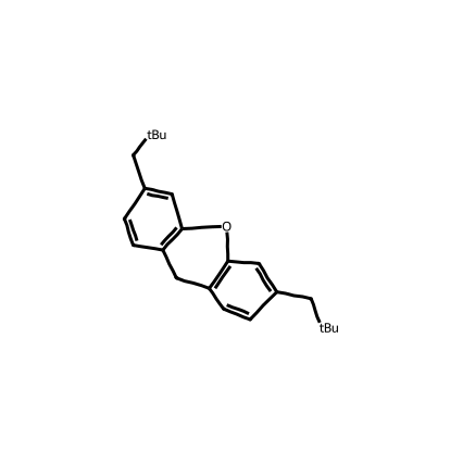 CC(C)(C)Cc1ccc2c(c1)Oc1cc(CC(C)(C)C)ccc1C2